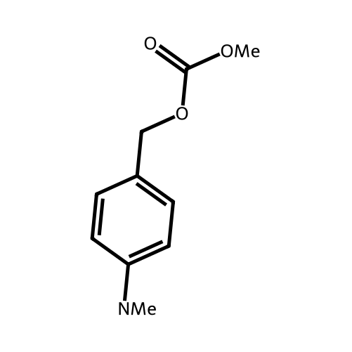 CNc1ccc(COC(=O)OC)cc1